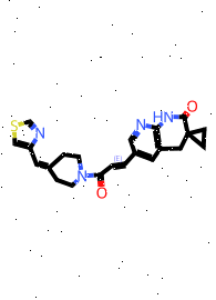 O=C(/C=C/c1cnc2c(c1)CC1(CC1)C(=O)N2)N1CCC(=Cc2cscn2)CC1